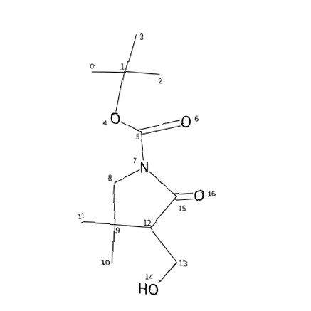 CC(C)(C)OC(=O)N1CC(C)(C)C(CO)C1=O